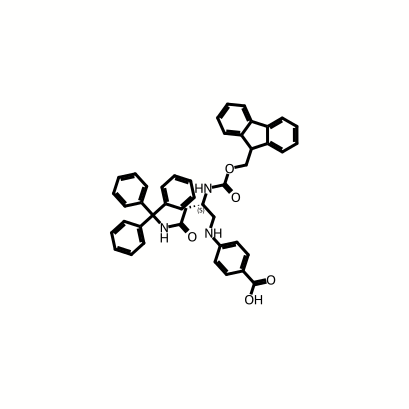 O=C(C[C@@H](CNc1ccc(C(=O)O)cc1)NC(=O)OCC1c2ccccc2-c2ccccc21)NC(c1ccccc1)(c1ccccc1)c1ccccc1